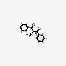 NC(C(=O)c1ccccc1)C(=O)c1ccccc1